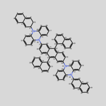 C1=c2ccccc2=CC(N2c3ccccc3N(c3ccc4c(-c5cccc6ccccc56)c5cc(N6c7ccccc7N(c7ccc8ccccc8c7)c7ccccc76)ccc5c(-c5cccc6ccccc56)c4c3)c3ccccc32)C1